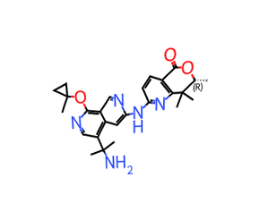 C[C@H]1OC(=O)c2ccc(Nc3cc4c(C(C)(C)N)cnc(OC5(C)CC5)c4cn3)nc2C1(C)C